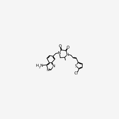 CC1CN(Cc2ccc3c(N)ncnc3c2)C(=O)C(=O)N1C/C=C/c1ccc(Cl)s1